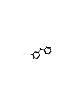 COc1cc(C(=O)c2cccc(O)c2N)ccc1[N+](=O)[O-]